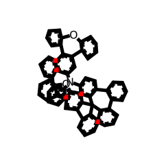 c1ccc(-c2ccccc2N(c2ccc3c(c2)-c2ccccc2Oc2ccccc2-3)c2ccc3c(c2)C2(c4ccccc4-c4ccccc4-3)c3ccccc3-c3cc4c(cc32)oc2ccccc24)cc1